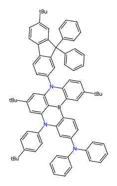 CC(C)(C)c1ccc(N2c3cc(N(c4ccccc4)c4ccccc4)ccc3B3c4cc(C(C)(C)C)ccc4N(c4ccc5c(c4)C(c4ccccc4)(c4ccccc4)c4cc(C(C)(C)C)ccc4-5)c4cc(C(C)(C)C)cc2c43)cc1